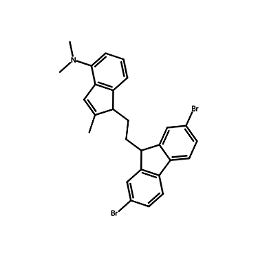 CC1=Cc2c(cccc2N(C)C)C1CCC1c2cc(Br)ccc2-c2ccc(Br)cc21